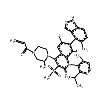 C=CC(=O)N1CCN(c2c(S(C)(=O)=O)c(=O)n(-c3c(C)ccnc3C(C)C)c3c(F)c(-c4c(C)ccc5[nH]ncc45)c(Cl)cc23)[C@@H](C)C1